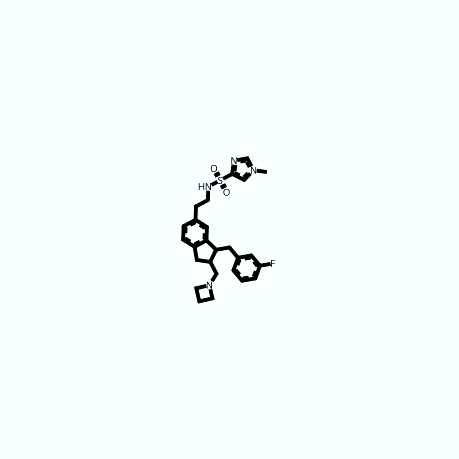 Cn1cnc(S(=O)(=O)NCCc2ccc3c(c2)C(Cc2cccc(F)c2)C(CN2CCC2)C3)c1